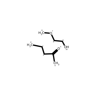 CCCC(C)=O.COCCO